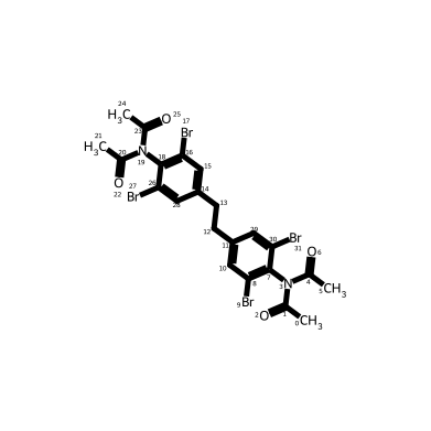 CC(=O)N(C(C)=O)c1c(Br)cc(CCc2cc(Br)c(N(C(C)=O)C(C)=O)c(Br)c2)cc1Br